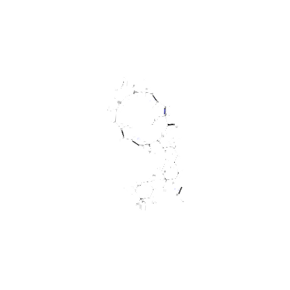 C/C=C/[C@H]1O[C@@H]([C@@H](C)[C@H](O)[C@H](C)[C@H]2OC(=O)/C(OC)=C/C(C)=C/[C@@H](C)[C@@H](O)[C@@H](CC)[C@@H](O)[C@H](C)C/C(C)=C/C=C/[C@@H]2O)C[C@@H](O[C@@H]2C[C@H](O)[C@@H](O)[C@H](C)O2)[C@@H]1C